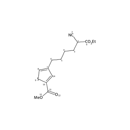 CCOC(=O)C(C#N)CCCCc1csc(C(=O)OC)c1